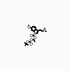 COc1ccc2c(CCN(C)C)cn(C(=O)OC(C)OC(=O)OC(C)(C)C)c2c1